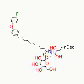 CCCCCCCCCCCC[C@@H](O)[C@@H](O)[C@H](CO[C@H]1OC(CO)[C@H](O)[C@H](O)C1O)NC(=O)CCCCCCCCCCc1ccc(Oc2ccc(F)cc2)cc1